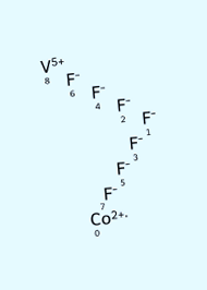 [Co+2].[F-].[F-].[F-].[F-].[F-].[F-].[F-].[V+5]